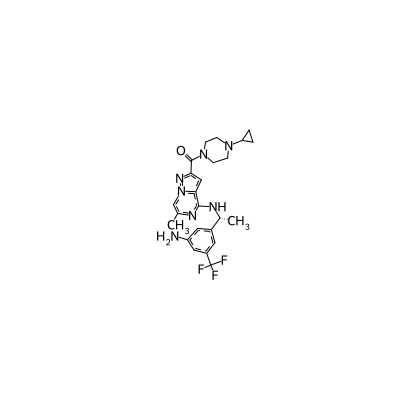 Cc1cn2nc(C(=O)N3CCN(C4CC4)CC3)cc2c(N[C@H](C)c2cc(N)cc(C(F)(F)F)c2)n1